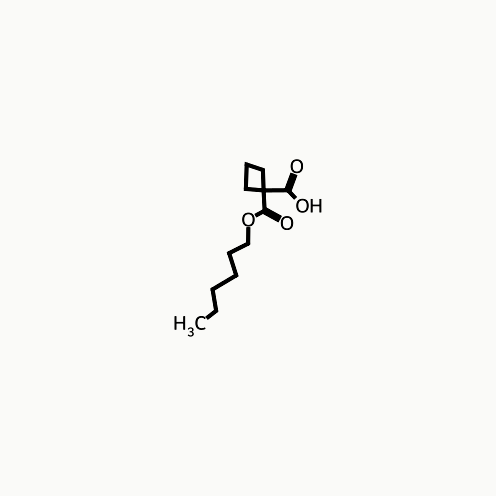 CCCCCCOC(=O)C1(C(=O)O)CCC1